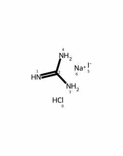 Cl.N=C(N)N.[I-].[Na+]